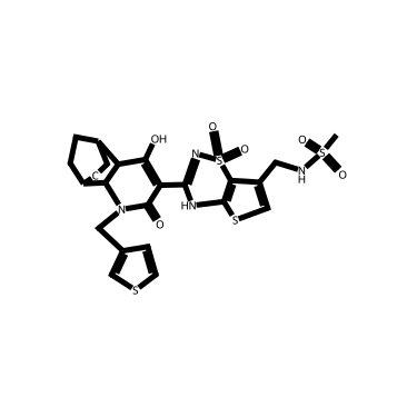 CS(=O)(=O)NCc1csc2c1S(=O)(=O)N=C(C1=C(O)C3C4CCC(CC4)C3N(Cc3ccsc3)C1=O)N2